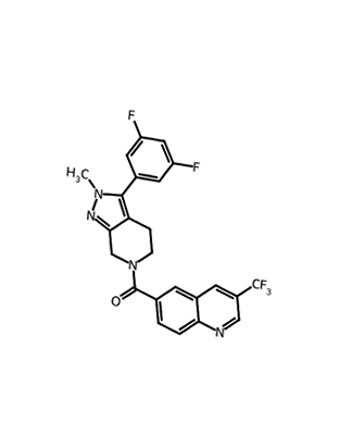 Cn1nc2c(c1-c1cc(F)cc(F)c1)CCN(C(=O)c1ccc3ncc(C(F)(F)F)cc3c1)C2